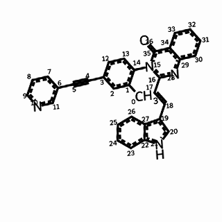 Cc1cc(C#Cc2cccnc2)ccc1-n1c(C=Cc2c[nH]c3ccccc23)nc2ccccc2c1=O